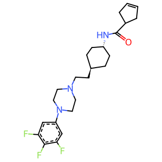 O=C(N[C@H]1CC[C@H](CCN2CCN(c3cc(F)c(F)c(F)c3)CC2)CC1)C1CC=CC1